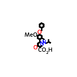 C=C(C)CN1Cc2cc(OCc3ccccc3)c(OC)cc2-c2cc(=O)c(C(=O)O)cn21